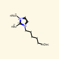 CCCCCCCCCCCCCCCn1cc[n+](CCCCCCCCC)c1CCCC